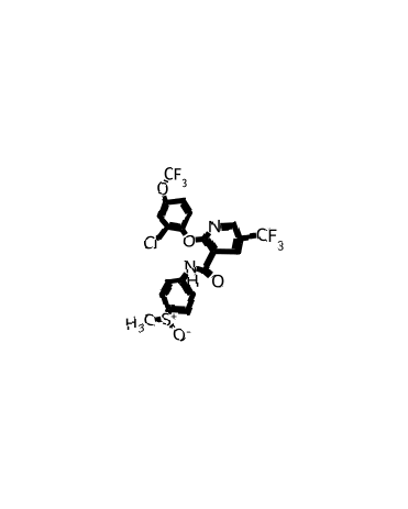 C[S+]([O-])c1ccc(NC(=O)c2cc(C(F)(F)F)cnc2Oc2ccc(OC(F)(F)F)cc2Cl)cc1